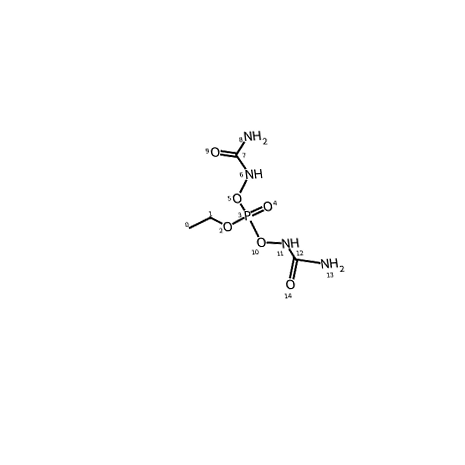 CCOP(=O)(ONC(N)=O)ONC(N)=O